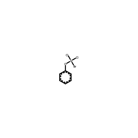 Cl[Si](Cl)(Br)Oc1ccccc1